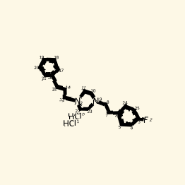 Cl.Cl.Fc1ccc(CCN2CCN(CCCc3ccccc3)CC2)cc1